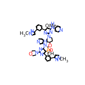 COc1c(Nc2ccncc2)nc(N2CCC(OCP(C)(=O)c3c(Nc4cccnc4)nc(N4CCOCC4)nc3-c3cccc(-c4ccn(C)n4)c3)CC2)nc1-c1cccc(-c2ccn(C)n2)c1